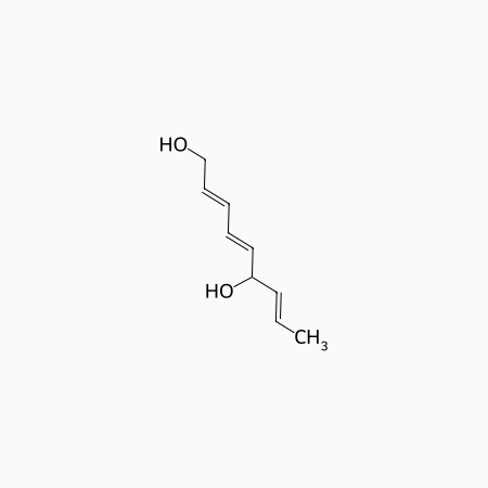 CC=CC(O)C=CC=CCO